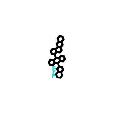 Fc1c(-c2c3ccccc3c(-c3cccc4c3ccc3cc5ccccc5cc34)c3ccccc23)ccc2c1C(F)(F)CCC2